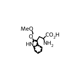 COCOc1[nH]c2ccccc2c1CC(N)C(=O)O